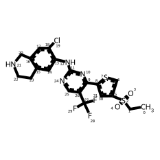 CCS(=O)(=O)c1csc(-c2nc(Nc3cc4c(cc3Cl)CNCC4)ncc2C(F)(F)F)c1